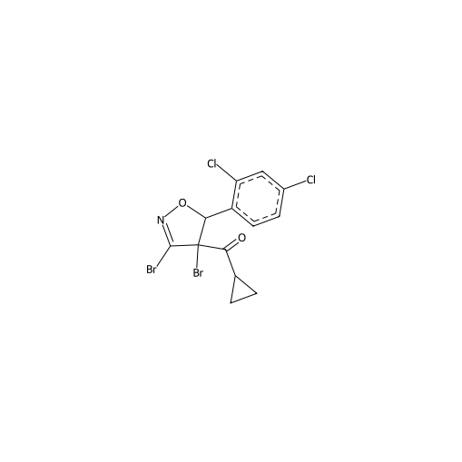 O=C(C1CC1)C1(Br)C(Br)=NOC1c1ccc(Cl)cc1Cl